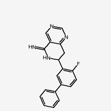 N=C1NC(c2cc(-c3ccccc3)ccc2F)Cc2ncncc21